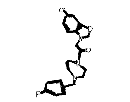 O=C(CN1COc2cc(Cl)ccc21)N1CCN(Cc2ccc(F)cc2)CC1